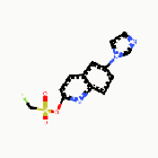 O=S(=O)(CF)Oc1ccc2cc(-n3ccnc3)ccc2n1